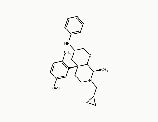 COc1ccc(C)c([C@]23CCN(CC4CC4)[C@H](C)C2OCC(Nc2ccccc2)C3)c1